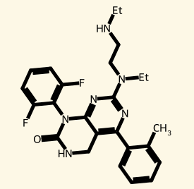 CCNCCN(CC)c1nc(-c2ccccc2C)c2c(n1)N(c1c(F)cccc1F)C(=O)NC2